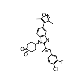 Cc1noc(C)c1-c1ccc2c(c1)nc([C@H](C)Cc1ccc(Cl)c(F)c1)n2C1CCS(=O)(=O)CC1